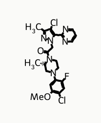 COc1cc(N2CCN(C(=O)Cn3nc(C)c(Cl)c3-c3ncccn3)[C@@H](C)C2)c(F)cc1Cl